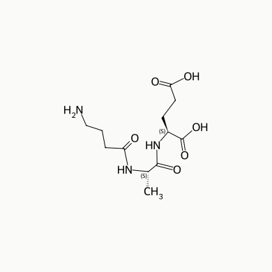 C[C@H](NC(=O)CCCN)C(=O)N[C@@H](CCC(=O)O)C(=O)O